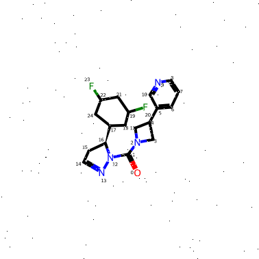 O=C(N1CC(c2cccnc2)C1)N1N=CC[C@H]1C1CC(F)CC(F)C1